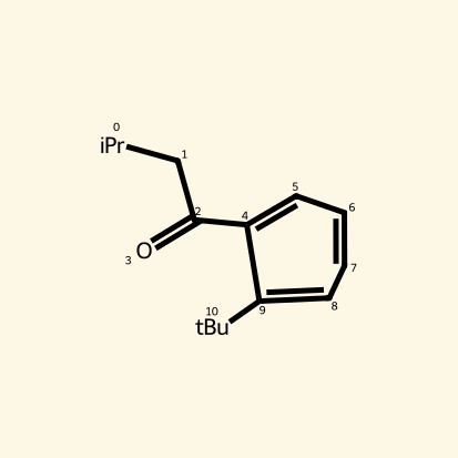 CC(C)CC(=O)c1ccccc1C(C)(C)C